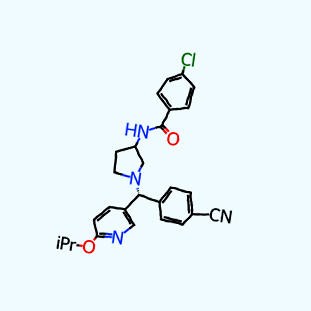 CC(C)Oc1ccc([C@@H](c2ccc(C#N)cc2)N2CCC(NC(=O)c3ccc(Cl)cc3)C2)cn1